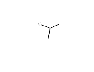 C[C](C)F